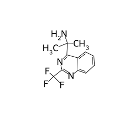 CC(C)(N)c1nc(C(F)(F)F)nc2ccccc12